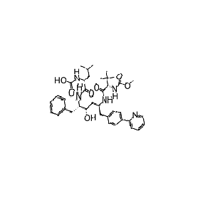 COC(=O)N[C@H](C(=O)N[C@@H](Cc1ccc(-c2ccccn2)cc1)C[C@H](O)[C@H](Cc1ccccc1)NC(=O)[C@H](CC(C)C)NC(=O)O)C(C)(C)C